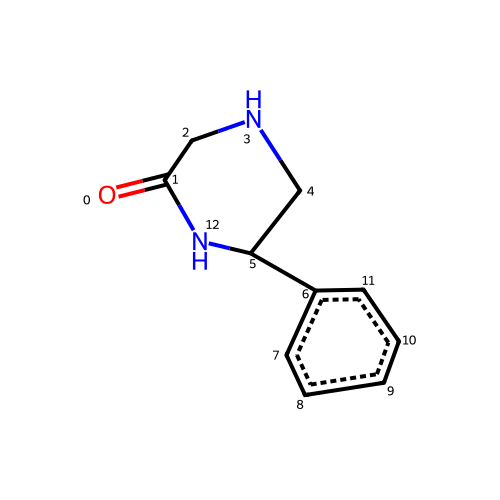 O=C1CNCC(c2ccccc2)N1